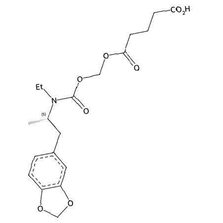 CCN(C(=O)OCOC(=O)CCCC(=O)O)[C@@H](C)Cc1ccc2c(c1)OCO2